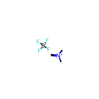 C=[N+](C)C.F[B-](F)(F)F